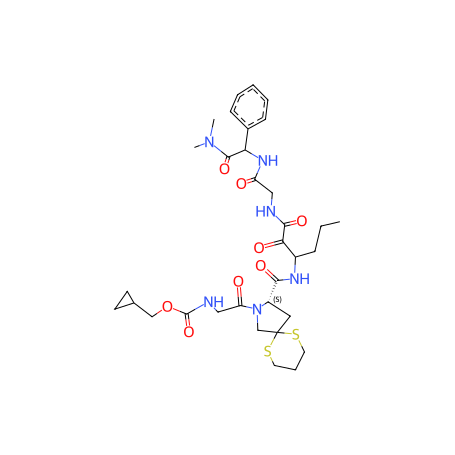 CCCC(NC(=O)[C@@H]1CC2(CN1C(=O)CNC(=O)OCC1CC1)SCCCS2)C(=O)C(=O)NCC(=O)NC(C(=O)N(C)C)c1ccccc1